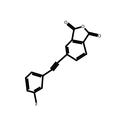 O=C1OC(=O)c2cc(C#Cc3cccc(F)c3)ccc21